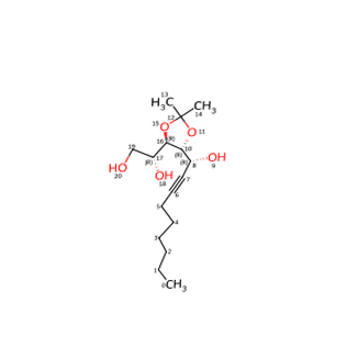 CCCCCCC#C[C@@H](O)[C@H]1OC(C)(C)O[C@@H]1[C@H](O)CO